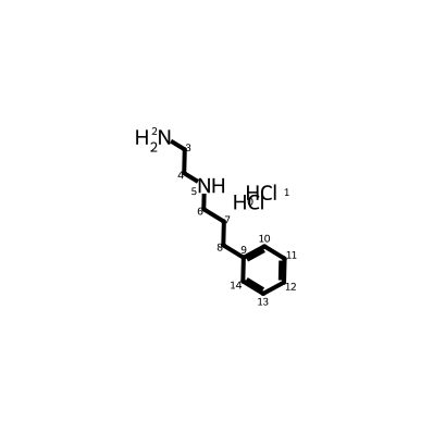 Cl.Cl.NCCNCCCc1ccccc1